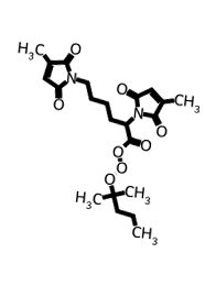 CCCC(C)(C)OOOC(=O)C(CCCCN1C(=O)C=C(C)C1=O)N1C(=O)C=C(C)C1=O